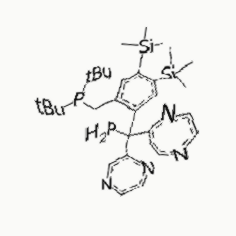 CC(C)(C)P(Cc1cc([Si](C)(C)C)c([Si](C)(C)C)cc1C(P)(c1cnccn1)c1cnccn1)C(C)(C)C